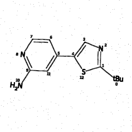 CC(C)(C)c1ncc(-c2ccnc(N)c2)s1